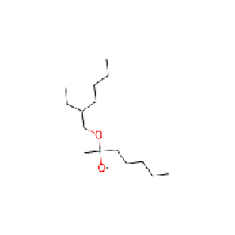 CCCCCC(C)([O])OCC(CC)CCCC